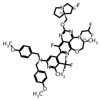 COc1ccc(CN(Cc2ccc(OC)cc2)c2cc(-c3nc4c5c(nc(OC[C@@]67CCCN6C[C@H](F)C7)nc5c3F)N(CC(F)F)[C@@H](C)CO4)c(C(F)(F)F)c(C)n2)cc1